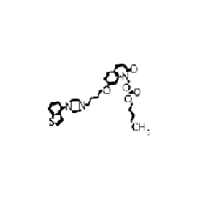 CCCCCOC(=O)OCn1c(=O)ccc2ccc(OCCCCN3CCN(c4cccc5sccc45)CC3)cc21